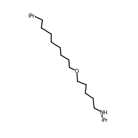 CC(C)CCCCCCCCOCCCCCNC(C)C